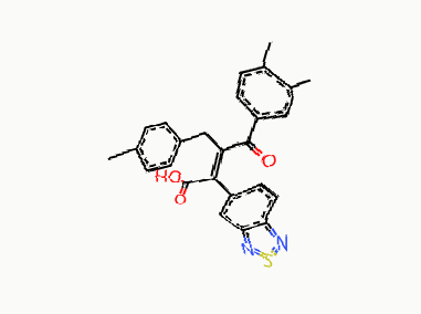 Cc1ccc(CC(C(=O)c2ccc(C)c(C)c2)=C(C(=O)O)c2ccc3nsnc3c2)cc1